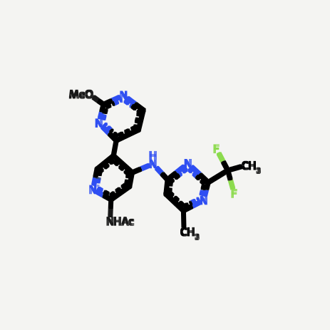 COc1nccc(-c2cnc(NC(C)=O)cc2Nc2cc(C)nc(C(C)(F)F)n2)n1